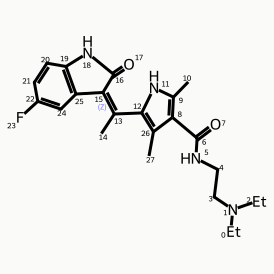 CCN(CC)CCNC(=O)c1c(C)[nH]c(/C(C)=C2\C(=O)Nc3ccc(F)cc32)c1C